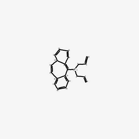 C=CCP(CC=C)C1=C2C=CC=CC2C=Cc2ccccc21